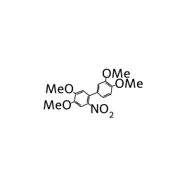 COc1ccc(-c2cc(OC)c(OC)cc2[N+](=O)[O-])cc1OC